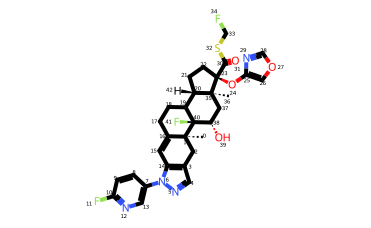 C[C@]12Cc3cnn(-c4ccc(F)nc4)c3C=C1CCC1[C@@H]3CC[C@](Oc4cocn4)(C(=O)SCF)[C@@]3(C)C[C@H](O)[C@@]12F